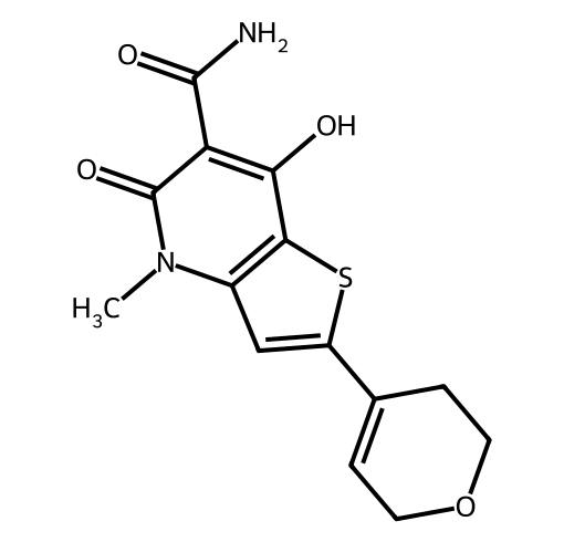 Cn1c(=O)c(C(N)=O)c(O)c2sc(C3=CCOCC3)cc21